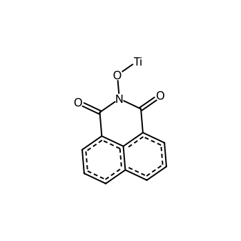 O=C1c2cccc3cccc(c23)C(=O)N1[O][Ti]